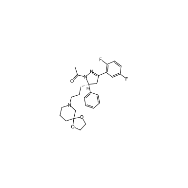 CC(=O)N1N=C(c2cc(F)ccc2F)C[C@@]1(CCCN1CCCC2(C1)OCCO2)c1ccccc1